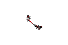 CN(CCCCCCCCCCN1CCC(OC(=O)Nc2ccccc2-c2ccccc2)CC1)CCN1C(=O)c2ccccc2C1=O